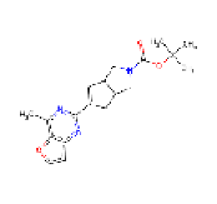 Cc1nc(C2=CC3CN(C(=O)OC(C)(C)C)CC3C2)nc2ccoc12